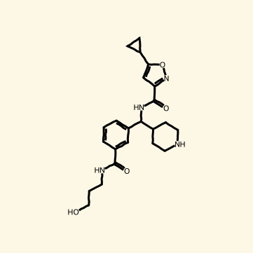 O=C(NCCCO)c1cccc(C(NC(=O)c2cc(C3CC3)on2)C2CCNCC2)c1